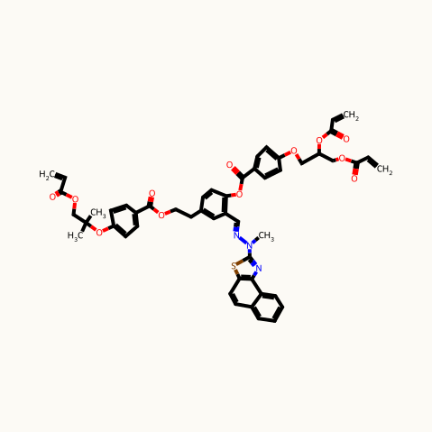 C=CC(=O)OCC(COc1ccc(C(=O)Oc2ccc(CCOC(=O)c3ccc(OC(C)(C)COC(=O)C=C)cc3)cc2/C=N/N(C)c2nc3c(ccc4ccccc43)s2)cc1)OC(=O)C=C